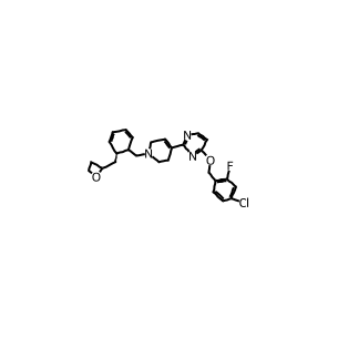 Fc1cc(Cl)ccc1COc1ccnc(C2=CCN(CC3C=CC=C[C@@H]3CC3CCO3)CC2)n1